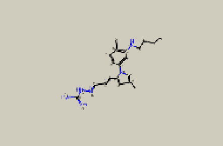 CCCCNc1cc(-n2cc(C)cc2/C=C/C=N/NC(=N)N)ccc1C